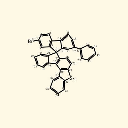 Brc1ccc2c(c1)C1(c3cc(-c4ccccc4)ccc3-2)c2ccccc2-c2c1ccc1sc3ccccc3c21